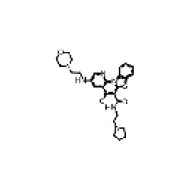 O=C(NCCN1CCCC1)c1c(=O)c2cc(NCCN3CCOCC3)cnc2n2c1sc1ccccc12